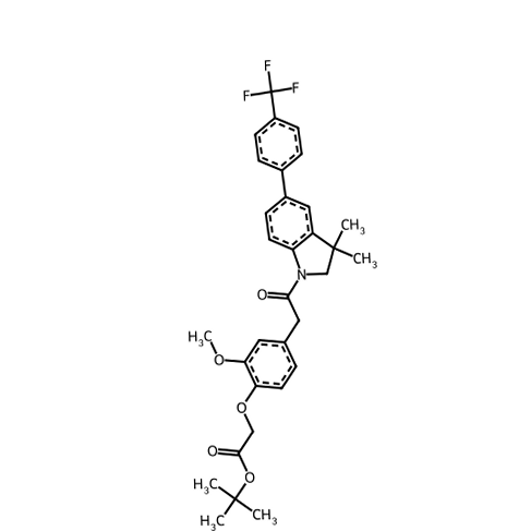 COc1cc(CC(=O)N2CC(C)(C)c3cc(-c4ccc(C(F)(F)F)cc4)ccc32)ccc1OCC(=O)OC(C)(C)C